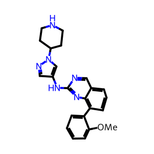 COc1ccccc1-c1cccc2cnc(Nc3cnn(C4CCNCC4)c3)nc12